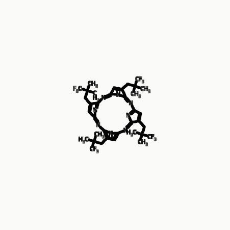 CC(C)(CC1=Cc2nc1nc1cc(CC(C)(C)C(F)(F)F)c(nc3nc(nc4cc(CC(C)(C)C(F)(F)F)c(n2)[nH]4)C(CC(C)(C)C(F)(F)F)=C3)[nH]1)C(F)(F)F